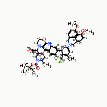 COc1ccc(CN(Cc2ccc(OC)cc2)c2cc(C)c(C(F)(F)F)c(-c3c(Cl)cc4c5c6c(nc4c3F)OCCN6C(=C=O)[C@H]3CN(C(=O)OC(C)(C)C)[C@H](C)CN53)n2)cc1